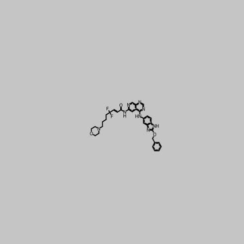 O=C(C=CC(F)(F)CCCCN1CCOCC1)Nc1cc2c(Nc3ccc4[nH]c(OCc5ccccc5)nc4c3)ncnc2cn1